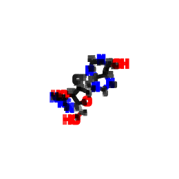 [N-]=[N+]=N[C@]1(CO)O[C@@H](n2cnc3c(O)ncnc32)[C@@H](C(F)(F)F)[C@@H]1O